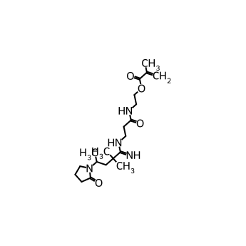 C=C(C)C(=O)OCCNC(=O)CCNC(=N)C(C)(C)CC(C)N1CCCC1=O